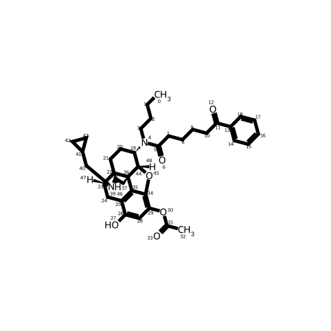 CCCCN(C(=O)CCCCC(=O)c1ccccc1)[C@H]1CC[C@H]2[C@H]3Cc4c(O)cc(OC(C)=O)c5c4[C@@]2(CCN3CC2CC2)[C@H]1O5